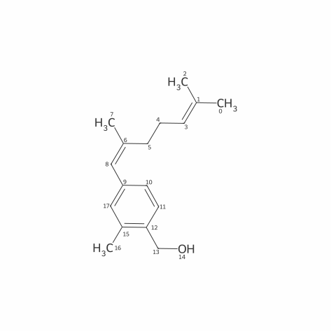 CC(C)=CCCC(C)=Cc1ccc(CO)c(C)c1